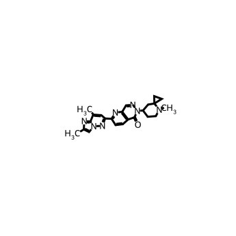 Cc1cn2nc(-c3ccc4c(=O)n(C5CCN(C)C6(CC6)C5)ncc4n3)cc(C)c2n1